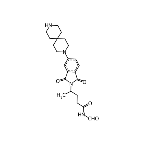 CC(CCC(=O)NC=O)N1C(=O)c2ccc(N3CCC4(CCNCC4)CC3)cc2C1=O